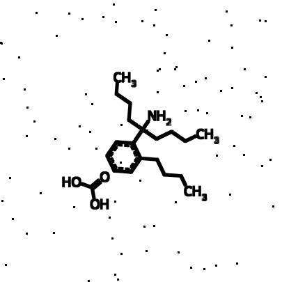 CCCCc1ccccc1C(N)(CCCC)CCCC.O=C(O)O